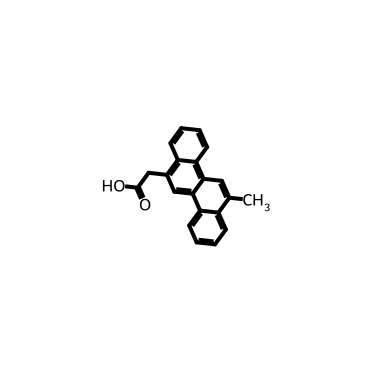 Cc1cc2c3ccccc3c(CC(=O)O)cc2c2ccccc12